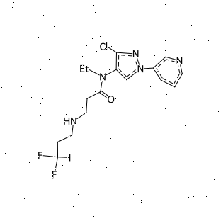 CCN(C(=O)CCNCCC(F)(F)I)c1cn(-c2cccnc2)nc1Cl